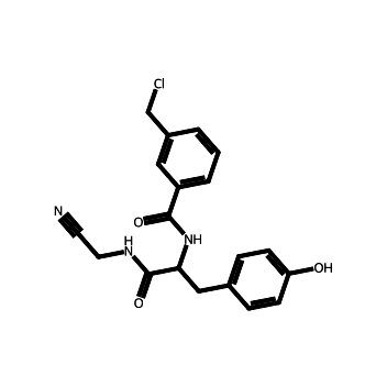 N#CCNC(=O)C(Cc1ccc(O)cc1)NC(=O)c1cccc(CCl)c1